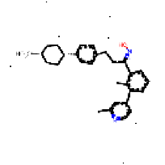 Cc1cc(-c2cccc(/C(CCc3ccc([C@H]4CC[C@H](C(=O)O)CC4)cc3)=N/O)c2C)ccn1